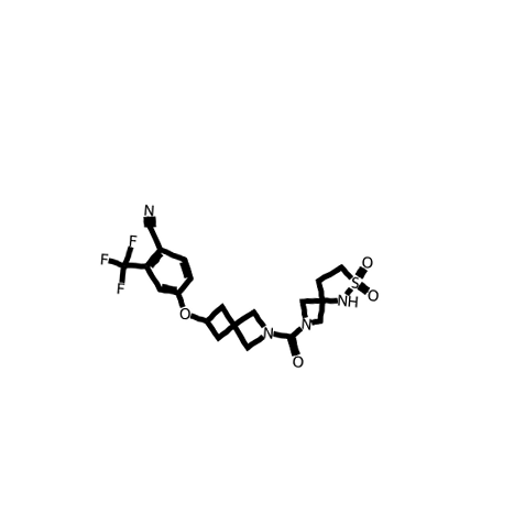 N#Cc1ccc(OC2CC3(C2)CN(C(=O)N2CC4(CCS(=O)(=O)N4)C2)C3)cc1C(F)(F)F